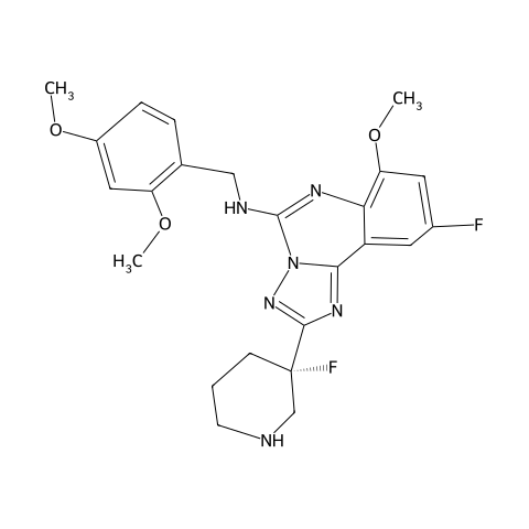 COc1ccc(CNc2nc3c(OC)cc(F)cc3c3nc([C@]4(F)CCCNC4)nn23)c(OC)c1